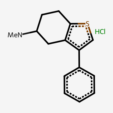 CNC1CCc2scc(-c3ccccc3)c2C1.Cl